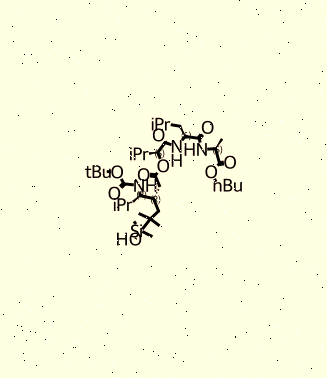 CCCCOC(=O)[C@H](C)NC(=O)[C@H](CC(C)C)NC(=O)[C@@H](OC(=O)C[C@H](CC(C)(C)[Si](C)(C)O)[C@H](NC(=O)OC(C)(C)C)C(C)C)C(C)C